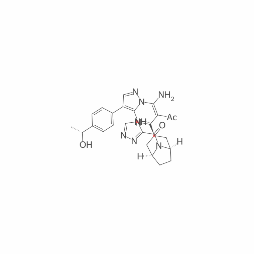 CC(=O)c1c([C@H]2C[C@H]3CC[C@@H](C2)N3C(=O)c2nnc[nH]2)nc2c(-c3ccc([C@@H](C)O)cc3)cnn2c1N